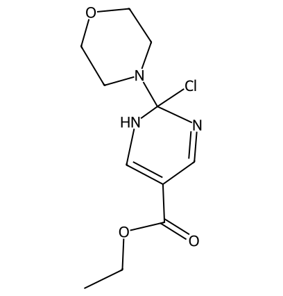 CCOC(=O)C1=CNC(Cl)(N2CCOCC2)N=C1